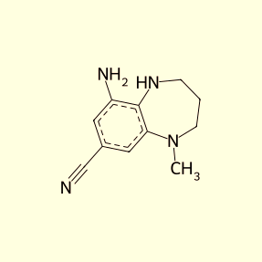 CN1CCCNc2c(N)cc(C#N)cc21